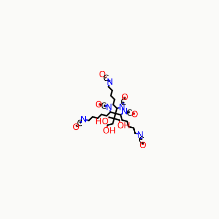 O=C=NCCCCCC(N=C=O)C(C(CCCCCN=C=O)N=C=O)(C(CCCCCN=C=O)N=C=O)C(CO)(CO)CCO